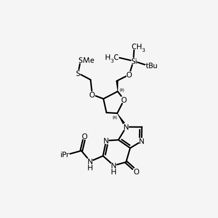 CSSCOC1C[C@H](n2cnc3c(=O)[nH]c(NC(=O)C(C)C)nc32)O[C@@H]1CO[Si](C)(C)C(C)(C)C